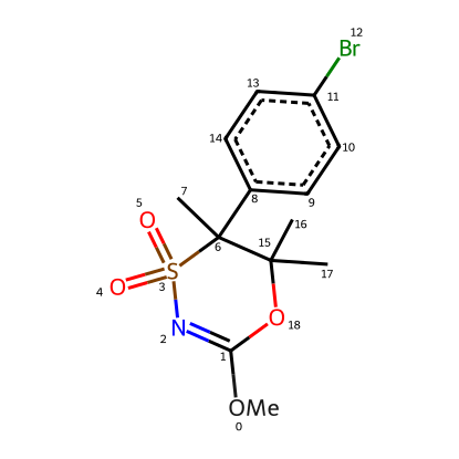 COC1=NS(=O)(=O)C(C)(c2ccc(Br)cc2)C(C)(C)O1